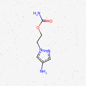 NC(=O)OCCn1cc(N)cn1